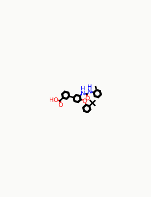 Cc1ccccc1NC(=O)Nc1cc(-c2cccc(C(=O)O)c2)ccc1Oc1ccccc1C(C)(C)C